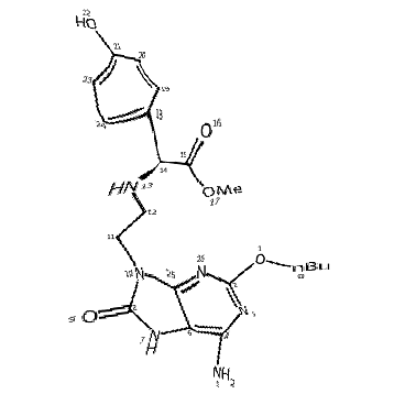 CCCCOc1nc(N)c2[nH]c(=O)n(CCN[C@H](C(=O)OC)c3ccc(O)cc3)c2n1